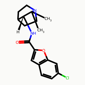 CC1(C)[C@H](NC(=O)c2cc3ccc(Cl)cc3o2)C2CCN1CC2